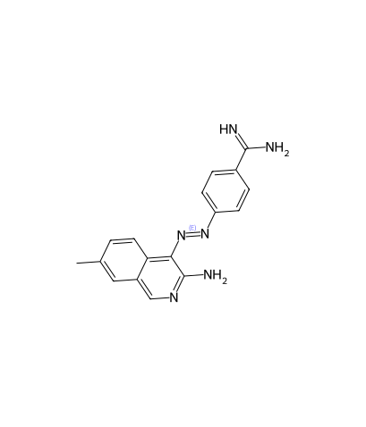 Cc1ccc2c(/N=N/c3ccc(C(=N)N)cc3)c(N)ncc2c1